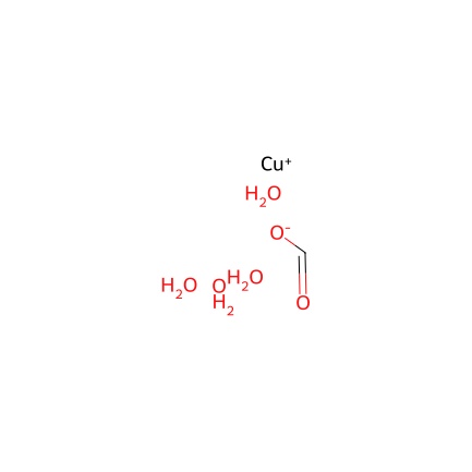 O.O.O.O.O=C[O-].[Cu+]